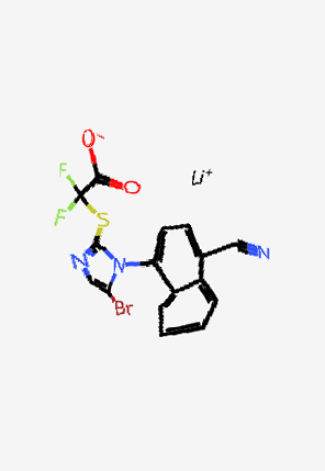 N#Cc1ccc(-n2c(Br)cnc2SC(F)(F)C(=O)[O-])c2ccccc12.[Li+]